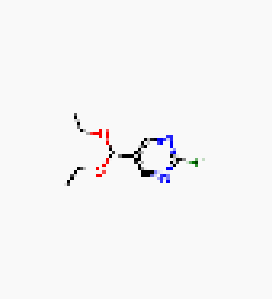 CCOC(OCC)c1cnc(Cl)nc1